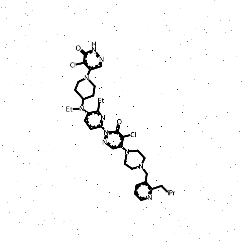 CCc1nc(-n2ncc(N3CCN(Cc4cccnc4CC(C)C)CC3)c(Cl)c2=O)ccc1N(CC)C1CCN(c2cn[nH]c(=O)c2Cl)CC1